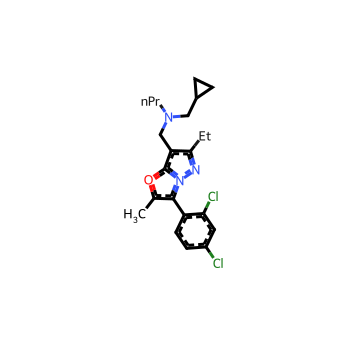 CCCN(Cc1c(CC)nn2c(-c3ccc(Cl)cc3Cl)c(C)oc12)CC1CC1